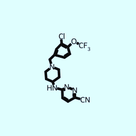 N#Cc1ccc(NC2CCN(Cc3ccc(OC(F)(F)F)c(Cl)c3)CC2)nn1